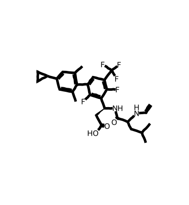 C=CNC(CC(C)C)C(=O)N[C@@H](CC(=O)O)c1c(F)c(-c2c(C)cc(C3CC3)cc2C)cc(C(F)(F)F)c1F